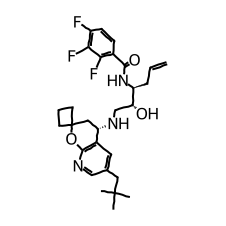 C=CC[C@H](NC(=O)c1ccc(F)c(F)c1F)[C@H](O)CN[C@H]1CC2(CCC2)Oc2ncc(CC(C)(C)C)cc21